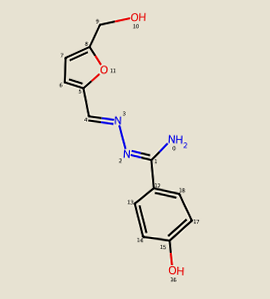 NC(=NN=Cc1ccc(CO)o1)c1ccc(O)cc1